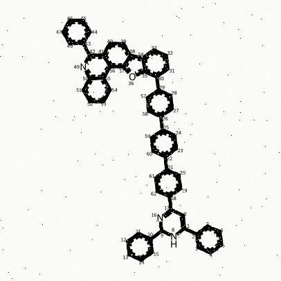 C1=C(c2ccccc2)NC(c2ccccc2)N=C1c1ccc(-c2ccc(-c3ccc(-c4cccc5c4oc4c5ccc5c(-c6ccccc6)nc6ccccc6c54)cc3)cc2)cc1